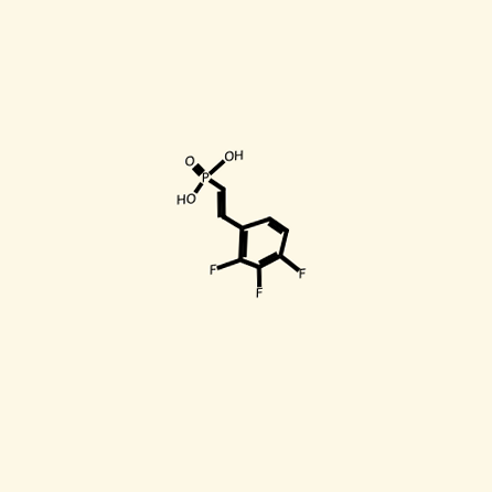 O=P(O)(O)C=Cc1ccc(F)c(F)c1F